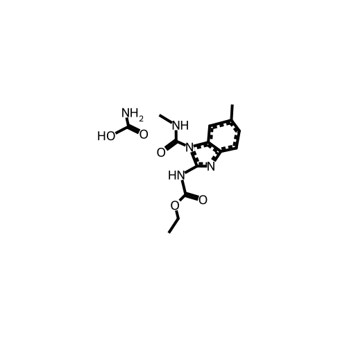 CCOC(=O)Nc1nc2ccc(C)cc2n1C(=O)NC.NC(=O)O